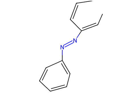 C\C=C/C(=C\C)/N=N/c1ccccc1